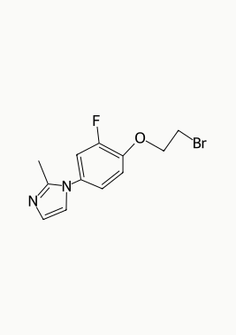 Cc1nccn1-c1ccc(OCCBr)c(F)c1